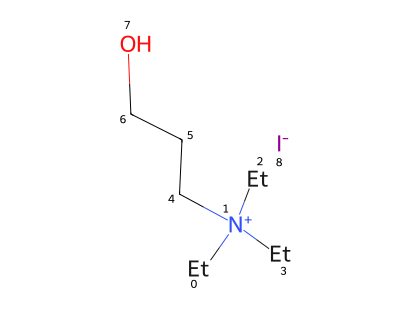 CC[N+](CC)(CC)CCCO.[I-]